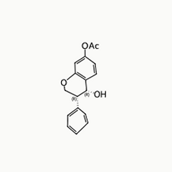 CC(=O)Oc1ccc2c(c1)OC[C@@H](c1ccccc1)[C@H]2O